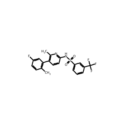 Cc1ccc(F)cc1-c1ccc(NS(=O)(=O)c2cccc(C(F)(F)F)c2)nc1C